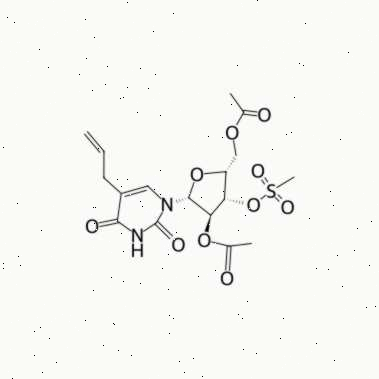 C=CCc1cn([C@@H]2O[C@H](COC(C)=O)[C@H](OS(C)(=O)=O)[C@H]2OC(C)=O)c(=O)[nH]c1=O